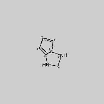 c1cc2n(c1)NCN2